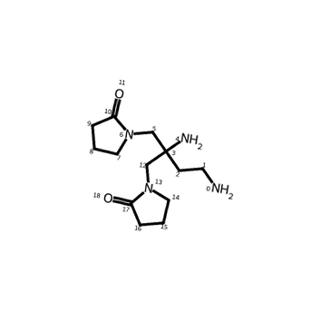 NCCC(N)(CN1CCCC1=O)CN1CCCC1=O